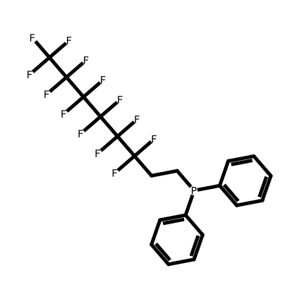 FC(F)(F)C(F)(F)C(F)(F)C(F)(F)C(F)(F)C(F)(F)CCP(c1ccccc1)c1ccccc1